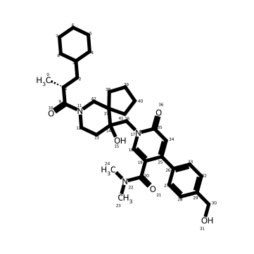 C[C@H](CC1CCCCC1)C(=O)N1CCC(O)(Cn2cc(C(=O)N(C)C)c(-c3ccc(CO)cc3)cc2=O)C2(CCCC2)C1